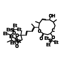 CCC(O[Si](CC)(CC)CC)C(C)C1OC1CC(C)(/C=C/C=C(\C)C1OC(=O)CC(O[Si](CC)(CC)CC)CCC(C)C(O)/C=C/C1C)O[Si](CC)(CC)CC